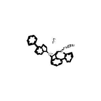 CCCCP1C2=Cc3c(cccc3[CH]2[Ti+2][CH]2C=Cc3c(-c4ccccc4)cccc32)-c2ccccc21.[F-].[F-]